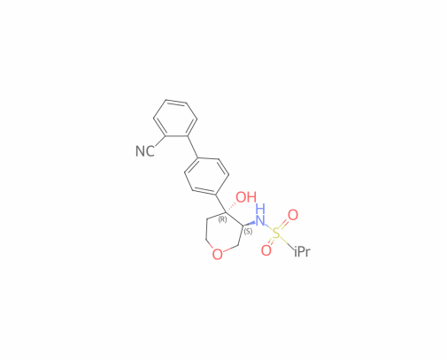 CC(C)S(=O)(=O)N[C@H]1COCC[C@@]1(O)c1ccc(-c2ccccc2C#N)cc1